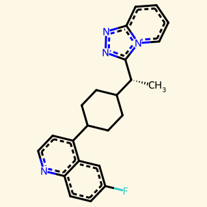 C[C@@H](c1nnc2ccccn12)C1CCC(c2ccnc3ccc(F)cc23)CC1